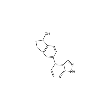 OC1CCc2cc(-c3ccnc4[nH]ncc34)ccc21